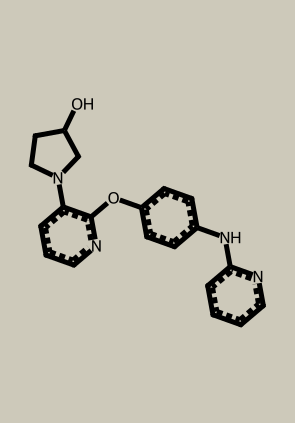 OC1CCN(c2cccnc2Oc2ccc(Nc3ccccn3)cc2)C1